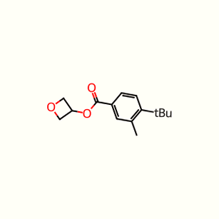 Cc1cc(C(=O)OC2COC2)ccc1C(C)(C)C